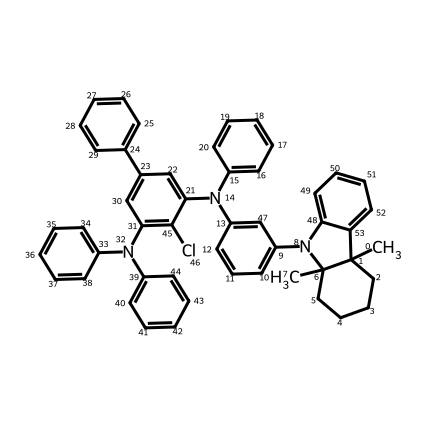 CC12CCCCC1(C)N(c1cccc(N(c3ccccc3)c3cc(-c4ccccc4)cc(N(c4ccccc4)c4ccccc4)c3Cl)c1)c1ccccc12